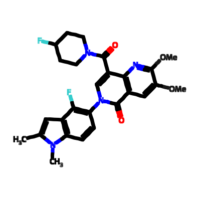 COc1cc2c(=O)n(-c3ccc4c(cc(C)n4C)c3F)cc(C(=O)N3CCC(F)CC3)c2nc1OC